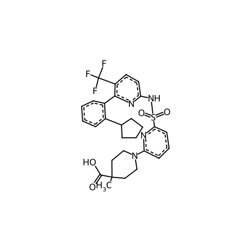 CC1(C(=O)O)CCN(c2cccc(S(=O)(=O)Nc3ccc(C(F)(F)F)c(-c4ccccc4C4CCCC4)n3)n2)CC1